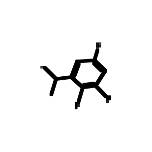 [CH2]C(C)c1cc(F)cc(F)c1F